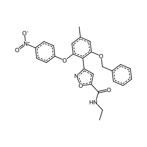 CCNC(=O)c1cc(-c2c(OCc3ccccc3)cc(C)cc2Oc2ccc([N+](=O)[O-])cc2)no1